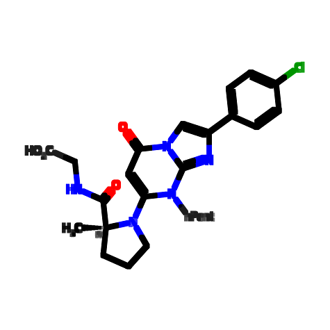 CCCCCn1c(N2CCC[C@@]2(C)C(=O)NCC(=O)O)cc(=O)n2cc(-c3ccc(Cl)cc3)nc12